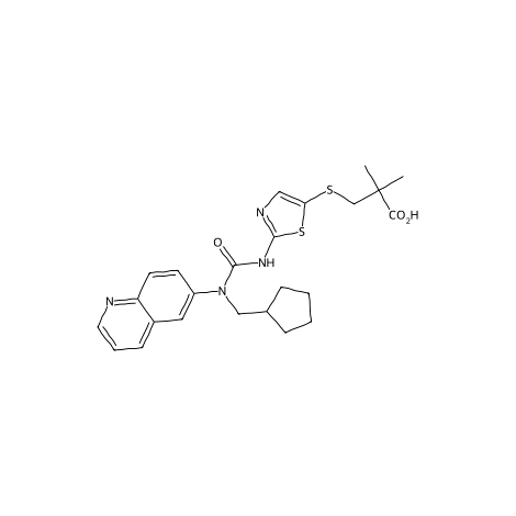 CC(C)(CSc1cnc(NC(=O)N(CC2CCCC2)c2ccc3ncccc3c2)s1)C(=O)O